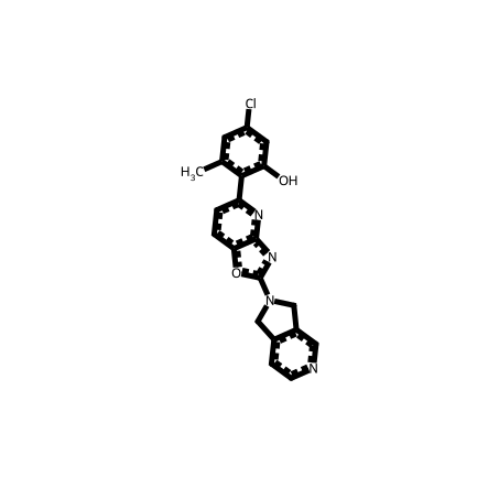 Cc1cc(Cl)cc(O)c1-c1ccc2oc(N3Cc4ccncc4C3)nc2n1